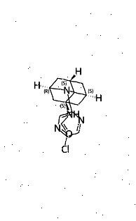 O=CN[C@]12C[C@@H]3C[C@H](C1)N(c1cnc(Cl)cn1)[C@@H](C3)C2